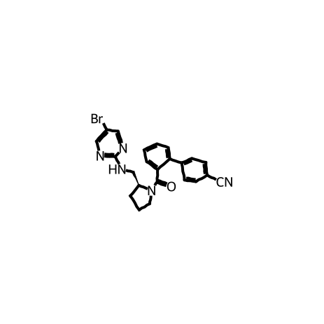 N#Cc1ccc(-c2ccccc2C(=O)N2CCC[C@H]2CNc2ncc(Br)cn2)cc1